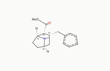 COC(=O)[C@@H]1[C@H](Cc2ccccc2)C[C@H]2CC[C@@H]1N2C